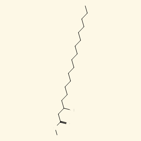 CCCCCCCCCCCCCCCC(O)CC(=O)OC